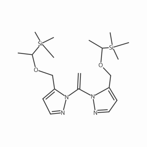 C=C(n1nccc1COC(C)[Si](C)(C)C)n1nccc1COC(C)[Si](C)(C)C